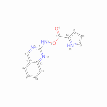 O=C(ONc1ncc2ccccc2n1)c1ccc[nH]1